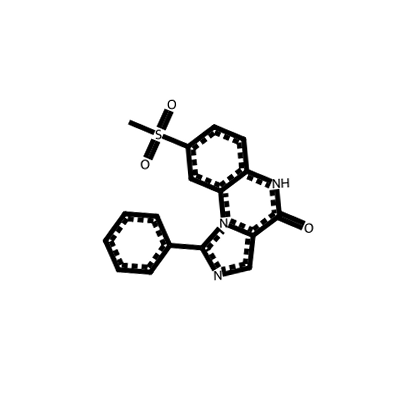 CS(=O)(=O)c1ccc2[nH]c(=O)c3cnc(-c4ccccc4)n3c2c1